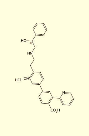 Cl.Cl.O=C(O)c1ccc(-c2ccc(CCNC[C@H](O)c3ccccc3)cc2)cc1-c1ccccn1